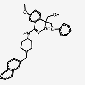 COc1ccc2c(c1)C(NC1CCN(Cc3ccc4ccccc4c3)CC1)=NNC2(CO)COc1ccccc1